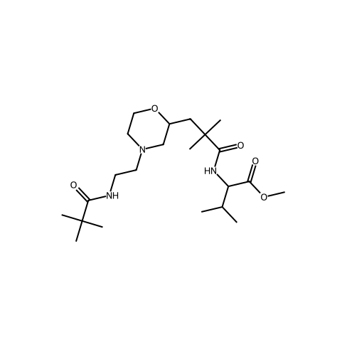 COC(=O)C(NC(=O)C(C)(C)CC1CN(CCNC(=O)C(C)(C)C)CCO1)C(C)C